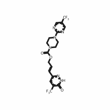 O=C(OC/C=C/c1cc(C(F)(F)F)c(=O)[nH]n1)N1CCN(c2ncc(C(F)(F)F)cn2)CC1